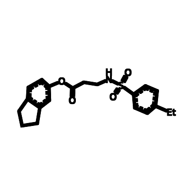 CCc1ccc(S(=O)(=O)NCCC(=O)Oc2ccc3c(c2)CCC3)cc1